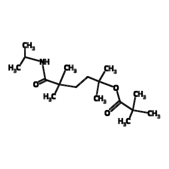 CC(C)NC(=O)C(C)(C)CCC(C)(C)OC(=O)C(C)(C)C